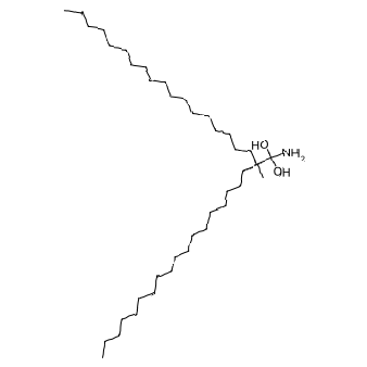 CCCCCCCCCCCCCCCCCCC(C)(CCCCCCCCCCCCCCCCCC)C(N)(O)O